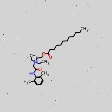 CCCCCCCCCCCC(=O)OCC[N+](CC)(CC)CC(=O)Nc1c(C)cccc1C